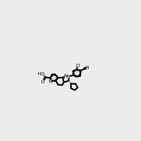 N#Cc1ccc(N2N=C3c4ccc(C(=O)O)nc4CCC3[C@H]2C2CCCC2)cc1Cl